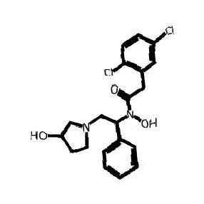 O=C(Cc1cc(Cl)ccc1Cl)N(O)C(CN1CCC(O)C1)c1ccccc1